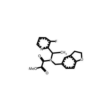 COC(=O)C(=O)N(Cc1ccc2c(c1)CCO2)C(C)c1ncccc1F